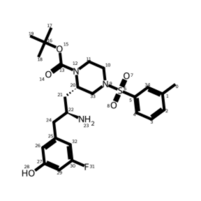 Cc1cccc(S(=O)(=O)N2CCN(C(=O)OC(C)(C)C)[C@@H](C[C@@H](N)Cc3cc(O)cc(F)c3)C2)c1